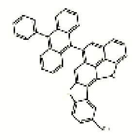 CCCCc1ccc2oc3cc4c(-c5c6ccccc6c(-c6ccccc6)c6ccccc56)cc5cccc6oc(c3c2c1)c4c56